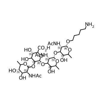 CC(=O)N[C@H]1C(O)[C@H](O)C(C)O[C@H]1O[C@H]1C(O)[C@H](O)C(C(=O)O)O[C@H]1OC1[C@H](O)C(C)O[C@@H](OC2[C@@H](O)C(C)O[C@@H](OCCCCCN)[C@H]2NC(C)=O)[C@H]1NC(C)=O